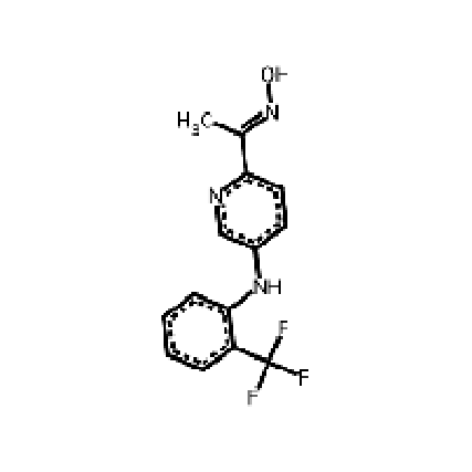 C/C(=N\O)c1ccc(Nc2ccccc2C(F)(F)F)cn1